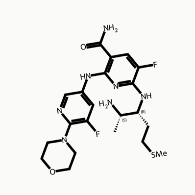 CSCC[C@@H](Nc1nc(Nc2cnc(N3CCOCC3)c(F)c2)c(C(N)=O)cc1F)[C@H](C)N